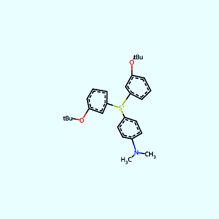 CN(C)c1ccc([S+](c2cccc(OC(C)(C)C)c2)c2cccc(OC(C)(C)C)c2)cc1